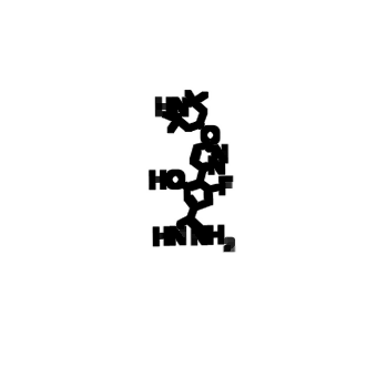 CC1(C)CC(Oc2ccc(-c3c(O)cc(/C(C=N)=C/N)cc3F)nn2)CC(C)(C)N1